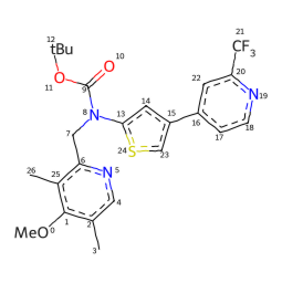 COc1c(C)cnc(CN(C(=O)OC(C)(C)C)c2cc(-c3ccnc(C(F)(F)F)c3)cs2)c1C